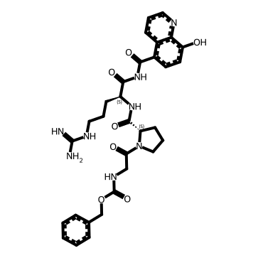 N=C(N)NCCC[C@H](NC(=O)[C@@H]1CCCN1C(=O)CNC(=O)OCc1ccccc1)C(=O)NC(=O)c1ccc(O)c2ncccc12